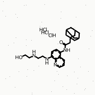 Cl.Cl.Cl.O=C(CC12CC3CC(CC(C3)C1)C2)Nc1ccc(NCCNCCO)c2ncccc12